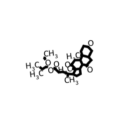 CCOC(OC(=O)CCC(C)C1CCC2C3C(=O)CC4CC(=O)CCC4(C)C3CC(=O)C12C)C(C)C